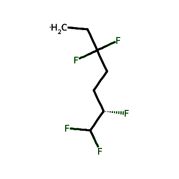 [CH2]CC(F)(F)CC[C@H](F)C(F)F